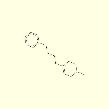 CC1CC=C(CCCCc2ccccc2)CC1